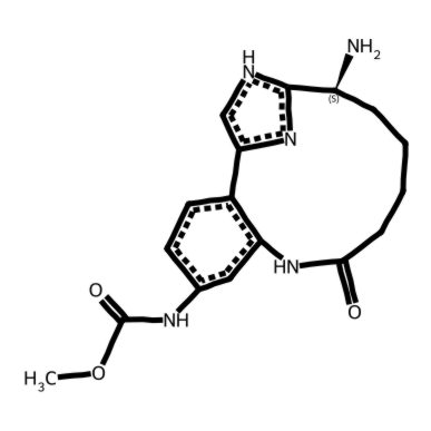 COC(=O)Nc1ccc2c(c1)NC(=O)CCCC[C@H](N)c1nc-2c[nH]1